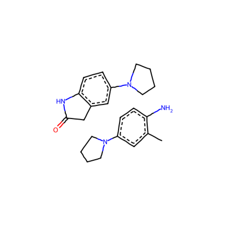 Cc1cc(N2CCCC2)ccc1N.O=C1Cc2cc(N3CCCC3)ccc2N1